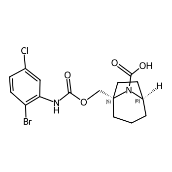 O=C(Nc1cc(Cl)ccc1Br)OC[C@]12CCC[C@H](CC1)N2C(=O)O